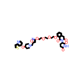 O=C1CCC(N2C(=O)Cc3cccc(OCCOCCOCCOc4cc(CN5CCC(Oc6ccnc7ccsc67)CC5)on4)c3C2=O)C(=O)N1